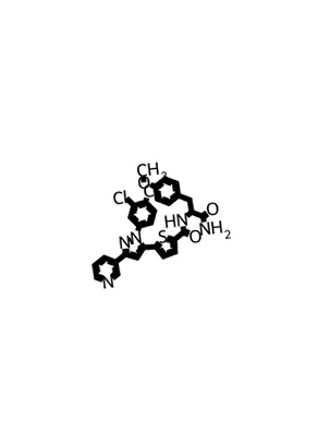 COc1ccc(CC(NC(=O)c2ccc(-c3cc(-c4cccnc4)nn3-c3ccc(Cl)c(Cl)c3)s2)C(N)=O)cc1